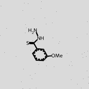 COc1cccc(C(=S)NN)c1